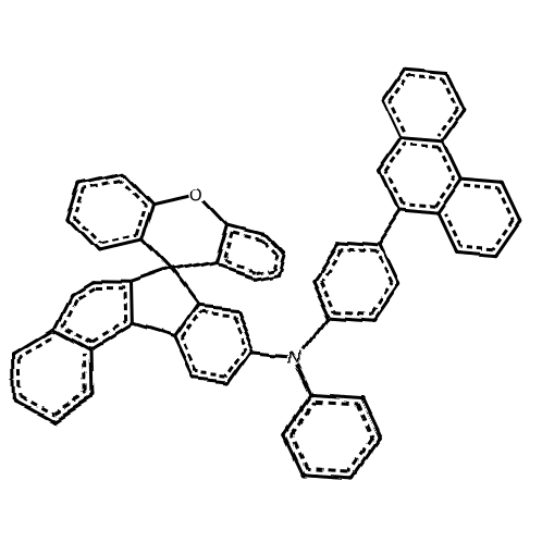 c1ccc(N(c2ccc(-c3cc4ccccc4c4ccccc34)cc2)c2ccc3c(c2)C2(c4ccccc4Oc4ccccc42)c2ccc4ccccc4c2-3)cc1